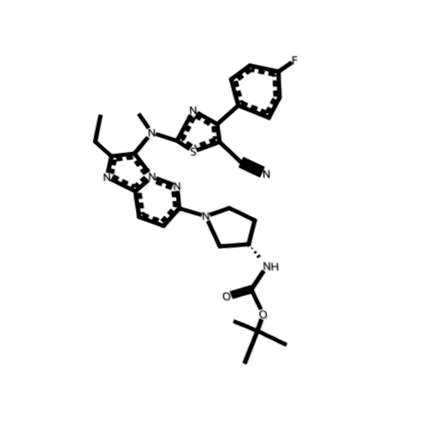 CCc1nc2ccc(N3CC[C@H](NC(=O)OC(C)(C)C)C3)nn2c1N(C)c1nc(-c2ccc(F)cc2)c(C#N)s1